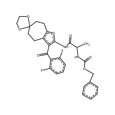 CC(NC(=O)OCc1ccccc1)C(=O)Nc1sc2c(c1C(=O)c1c(F)cccc1F)CCC1(CC2)OCCO1